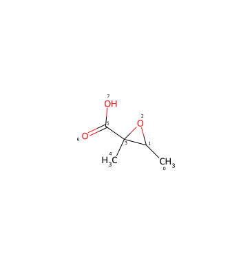 CC1OC1(C)C(=O)O